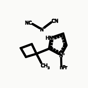 CCC[n+]1cc[nH]c1C1(C)CCC1.N#C[N-]C#N